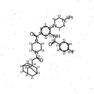 CC(C)N1CCN(c2ccc(C(=O)N3CCN(C(=O)CC45CC6CC(CC(C6)C4)C5)CC3)cc2NC(=O)c2ccc(F)cc2)CC1